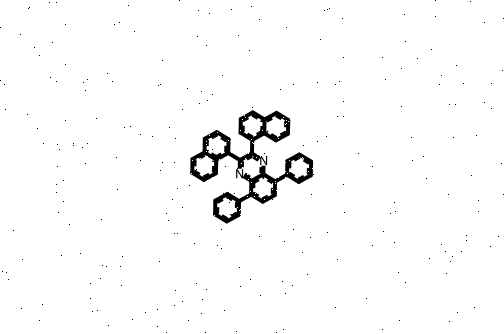 c1ccc(-c2ccc(-c3ccccc3)c3nc(-c4cccc5ccccc45)c(-c4cccc5ccccc45)nc23)cc1